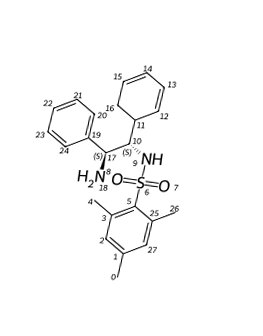 Cc1cc(C)c(S(=O)(=O)N[C@@H](C2C=CC=CC2)[C@@H](N)c2ccccc2)c(C)c1